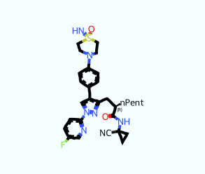 CCCCC[C@H](Cc1nn(-c2ccc(F)cn2)cc1-c1ccc(N2CCS(=N)(=O)CC2)cc1)C(=O)NC1(C#N)CC1